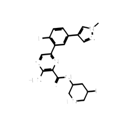 Cn1cc(-c2ccc(F)c(-c3cnc(N)c(C(=O)NC4CNCC(F)C4)n3)c2)cn1